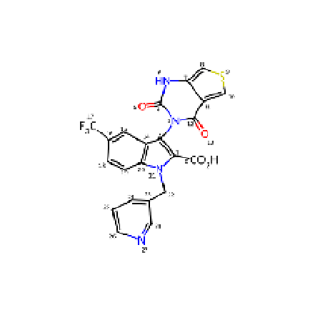 O=C(O)c1c(-n2c(=O)[nH]c3cscc3c2=O)c2cc(C(F)(F)F)ccc2n1Cc1cccnc1